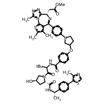 COC(=O)C[C@@H]1N=C(c2ccc(N3CCC(Oc4ccc(C(=O)NC(C(=O)N5C[C@H](O)C[C@H]5C(=O)N[C@@H](C)c5ccc(-c6scnc6C)cc5)C(C)(C)C)cc4)C3)cc2)c2c(sc(C)c2C)-n2c(C)nnc21